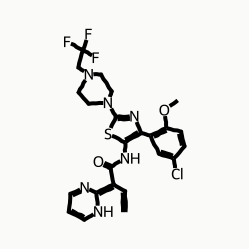 C=C/C(C(=O)Nc1sc(N2CCN(CC(F)(F)F)CC2)nc1-c1cc(Cl)ccc1OC)=C1/N=CC=CN1